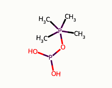 CP(C)(C)(C)OP(O)O